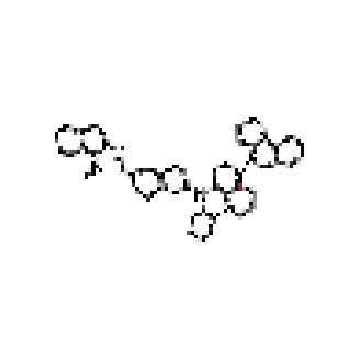 C=Nc1c(OCc2ccc3cc(N(c4ccc(-c5cc6ccccc6c6ccccc56)cc4)c4ccccc4-c4ccccc4)ccc3c2)ccc2ccccc12